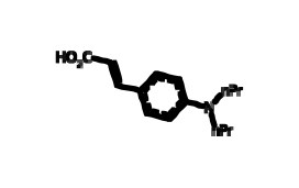 CCCN(CCC)c1ccc(/C=C/C(=O)O)cc1